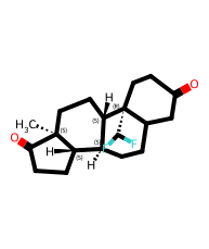 C[C@]12CC[C@H]3[C@@H](CCC4CC(=O)CC[C@@]43C(F)F)[C@@H]1CCC2=O